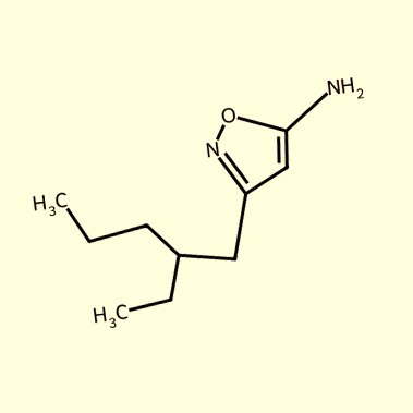 CCCC(CC)Cc1cc(N)on1